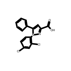 O=C(O)c1cc(-c2ccccc2)n(-c2ccc(Cl)cc2Cl)n1